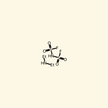 CCNCC.O=S(=O)(F)NS(=O)(=O)F